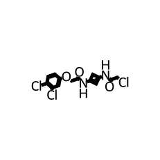 O=C(CCl)NC12CC(NC(=O)COc3ccc(Cl)c(Cl)c3)(C1)C2